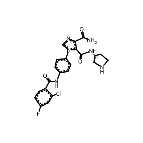 NC(=O)c1ncn(-c2ccc(NC(=O)c3ccc(F)cc3Cl)cc2)c1C(=O)N[C@@H]1CCNC1